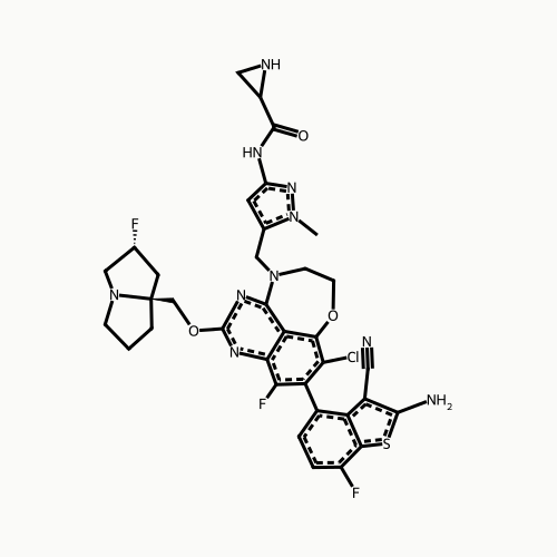 Cn1nc(NC(=O)C2CN2)cc1CN1CCOc2c(Cl)c(-c3ccc(F)c4sc(N)c(C#N)c34)c(F)c3nc(OC[C@@]45CCCN4C[C@H](F)C5)nc1c23